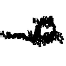 COCCOCCOCCOCCNC(=O)O[C@@H]1CC[C@@H](C[C@@H](C)[C@@H]2C[C@@H](O)[C@H](C)/C=C(\C)[C@@H](O)[C@@H](OC)C(=O)[C@H](C)C[C@H](C)/C=C/C=C/C=C(\C)[C@@H](OC)C[C@@H]3CC[C@@H](C)[C@@](O)(O3)C(=O)C(=O)N3CCCC[C@H]3C(=O)O2)C[C@H]1OC